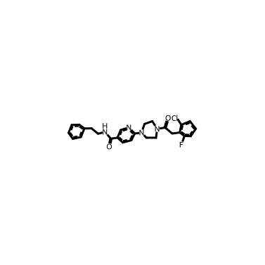 O=C(NCCc1ccccc1)c1ccc(N2CCN(C(=O)Cc3c(F)cccc3Cl)CC2)nc1